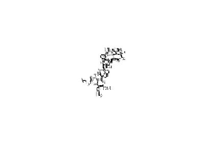 COCCN(CC(=O)N1CC(=O)N(c2cccc(C)c2C)C1)C(=O)c1ccc(C)c(O)c1